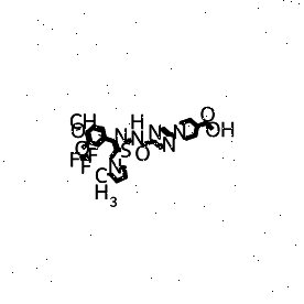 COc1ccc(-c2nc(NC(=O)c3cnc(N4CCC(C(=O)O)CC4)cn3)sc2CN2CCC[C@H]2C)cc1OC(F)(F)F